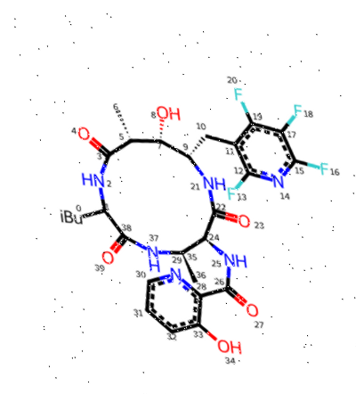 CCC(C)C1NC(=O)[C@H](C)[C@H](O)[C@H](Cc2c(F)nc(F)c(F)c2F)NC(=O)[C@@H](NC(=O)c2ncccc2O)[C@@H](C)NC1=O